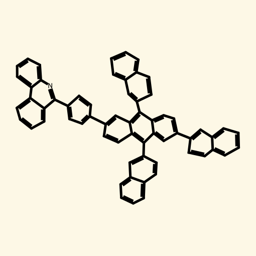 c1ccc2cc(-c3ccc4c(-c5ccc6ccccc6c5)c5cc(-c6ccc(-c7nc8ccccc8c8ccccc78)cc6)ccc5c(-c5ccc6ccccc6c5)c4c3)ccc2c1